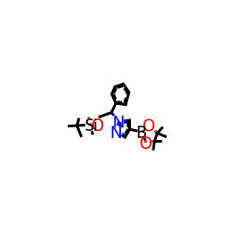 CC1(C)OB(c2cnn(C(CO[Si](C)(C)C(C)(C)C)c3ccccc3)c2)OC1(C)C